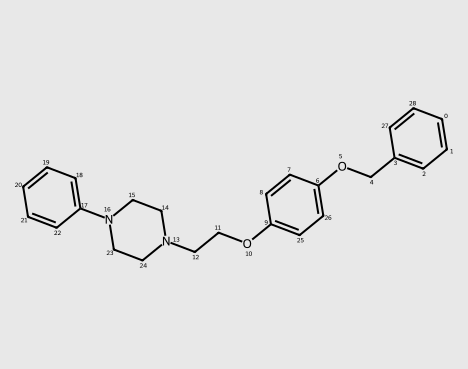 c1ccc(COc2ccc(OCCN3CCN(c4ccccc4)CC3)cc2)cc1